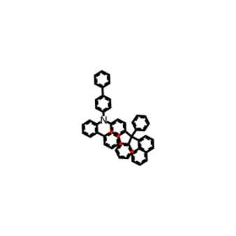 c1ccc(-c2ccc(N(c3ccc4c(c3)-c3ccccc3C4(c3ccccc3)c3cccc4ccccc34)c3ccccc3-c3ccccc3)cc2)cc1